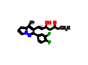 CC(C)c1c(/C=C/C(O)CC(=O)CC(=O)O)c(-c2ccc(F)c(F)c2)nn2cccc12